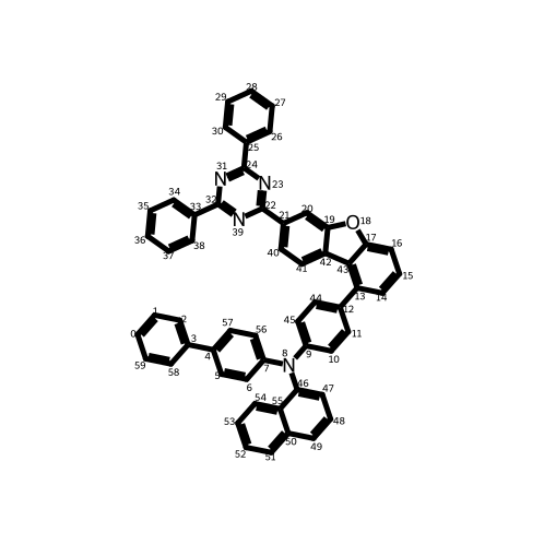 c1ccc(-c2ccc(N(c3ccc(-c4cccc5oc6cc(-c7nc(-c8ccccc8)nc(-c8ccccc8)n7)ccc6c45)cc3)c3cccc4ccccc34)cc2)cc1